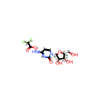 O=C(ONc1ccn([C@@H]2O[C@H](CO)[C@@H](O)[C@H]2O)c(=O)n1)C(F)F